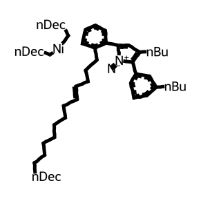 CCCCCCCCCCCCCCCCCC=CCCCc1ccccc1C1=CC(CCCC)=C(c2cccc(CCCC)c2)[N+]1=[N-].CCCCCCCCCC[CH2][Ni][CH2]CCCCCCCCCC